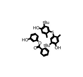 Cc1cc(O)c(C(C)(C)C)cc1Sc1cc(C(C)(C)C)c(O)cc1C.O=C(Oc1cccc(O)c1)c1ccccc1